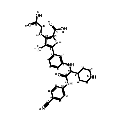 Cc1c(-c2cccc(NC(C(=O)Nc3ccc(C#N)cc3)C3CCNCC3)c2)sc(C(=O)O)c1OCC(=O)O